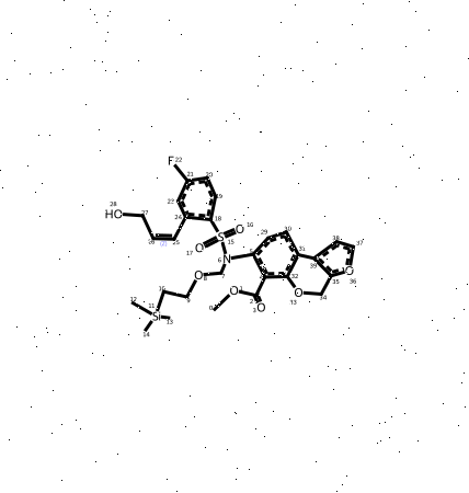 COC(=O)c1c(N(COCC[Si](C)(C)C)S(=O)(=O)c2ccc(F)cc2/C=C\CO)ccc2c1OCc1occc1-2